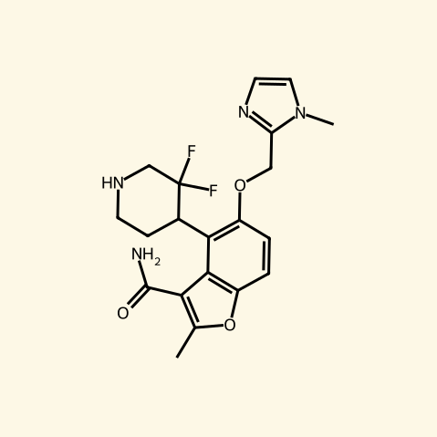 Cc1oc2ccc(OCc3nccn3C)c(C3CCNCC3(F)F)c2c1C(N)=O